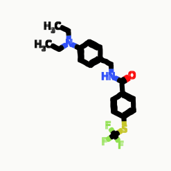 CCN(CC)c1ccc(CNC(=O)c2ccc(SC(F)(F)F)cc2)cc1